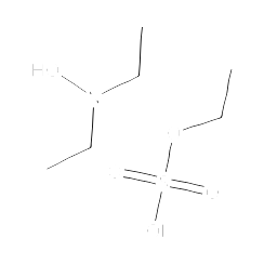 CCN(O)CC.CCOS(=O)(=O)O